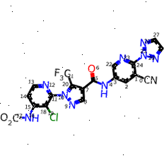 N#Cc1cc(NC(=O)c2cnn(-c3nccc(NC(=O)O)c3Cl)c2C(F)(F)F)cnc1-n1nccn1